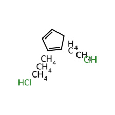 C.C.C.C.C.C1=CCC=C1.Cl.Cl